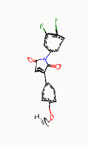 COc1ccc(C2=CC(=O)N(c3ccc(F)c(F)c3)C2=O)cc1